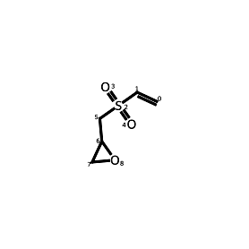 C=CS(=O)(=O)CC1CO1